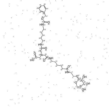 C[C@@H]1O[C@@H](OCCNC(=O)CCCCCNC(=O)CN(CC(=O)O)CC(=O)NCCCCCNC(=O)OCc2ccccc2)[C@@H](O)[C@H](O)[C@@H]1O